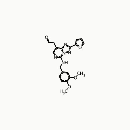 COc1ccc(CNc2ncc(CC=O)c3nc(-c4ccco4)nn23)cc1OC